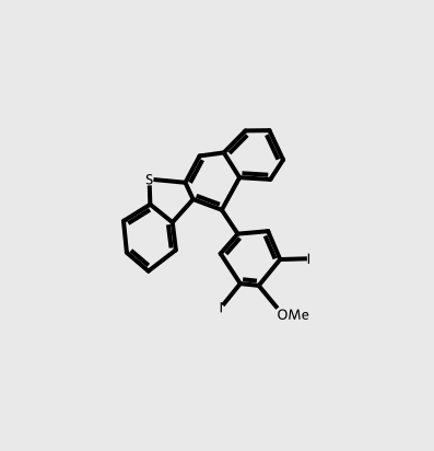 COc1c(I)cc(-c2c3ccccc3cc3sc4ccccc4c23)cc1I